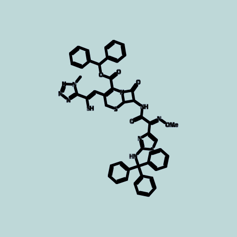 CON=C(C(=O)NC1C(=O)N2C(C(=O)OC(c3ccccc3)c3ccccc3)=C(C=C(S)c3nnnn3C)CSC12)c1csc(NC(c2ccccc2)(c2ccccc2)c2ccccc2)n1